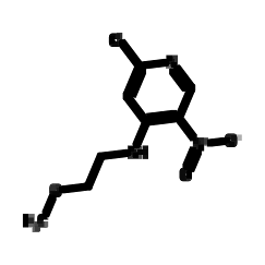 COCCNc1cc(Cl)ncc1[N+](=O)[O-]